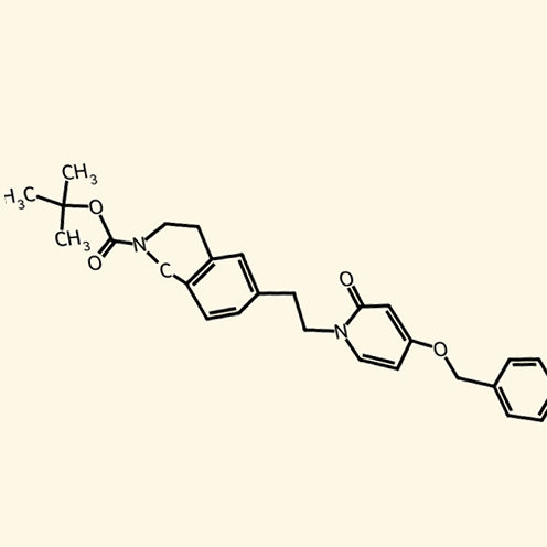 CC(C)(C)OC(=O)N1CCc2cc(CCn3ccc(OCc4ccccc4)cc3=O)ccc2C1